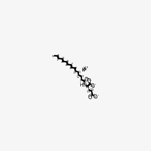 CCCCCCCCCCCCCCCC(=O)N[C@@H](CCC(=O)[O-])C(=O)[O-].[K+].[K+]